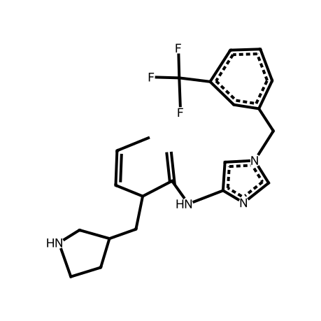 C=C(Nc1cn(Cc2cccc(C(F)(F)F)c2)cn1)C(/C=C\C)CC1CCNC1